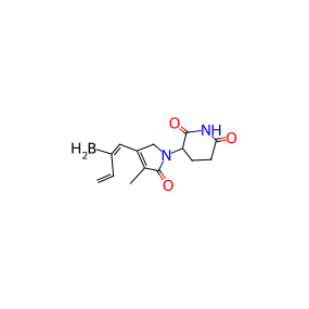 B/C(C=C)=C/C1=C(C)C(=O)N(C2CCC(=O)NC2=O)C1